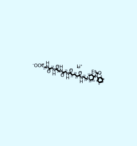 CCC(=O)N(c1ccccc1)C1CCN(CCNC(=O)CCCC(=O)NCC(=O)NCC(=O)NCC(=O)NCC(=O)[O-])CC1.[Li+]